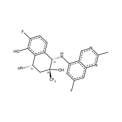 CCC[C@H]1C[C@](O)(C(F)(F)F)[C@@H](Nc2cc(F)cc3nc(C)ncc23)c2ccc(F)c(O)c21